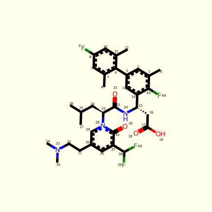 Cc1cc(-c2c(C)cc(F)cc2C)cc([C@H](CC(=O)O)NC(=O)[C@H](CC(C)C)n2cc(CCN(C)C)cc(C(F)F)c2=O)c1F